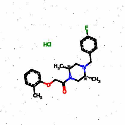 Cc1ccccc1OCC(=O)N1C[C@@H](C)N(Cc2ccc(F)cc2)C[C@@H]1C.Cl